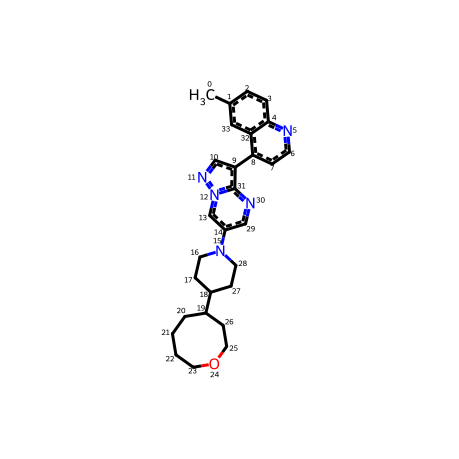 Cc1ccc2nccc(-c3cnn4cc(N5CCC(C6CCCCOCC6)CC5)cnc34)c2c1